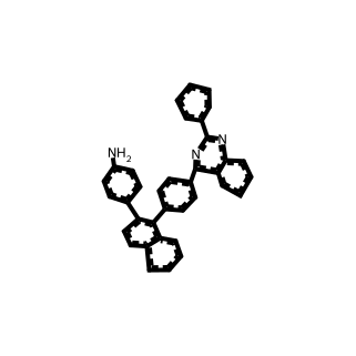 Nc1ccc(-c2ccc3ccccc3c2-c2ccc(-c3nc(-c4ccccc4)nc4ccccc34)cc2)cc1